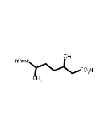 CCCCCC(C)CCC(O)CC(=O)O